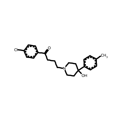 Cc1ccc(C2(O)CCN(CCCC(=O)c3ccc(Cl)cc3)CC2)cc1